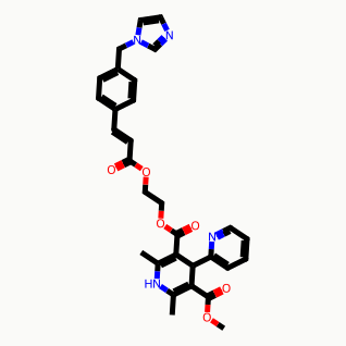 COC(=O)C1=C(C)NC(C)=C(C(=O)OCCOC(=O)/C=C/c2ccc(Cn3ccnc3)cc2)C1c1ccccn1